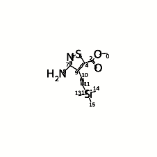 COC(=O)c1snc(N)c1C#C[Si](C)(C)C